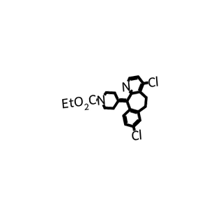 CCOC(=O)N1CCC(=C2c3ccc(Cl)cc3CCc3c(Cl)ccnc32)CC1